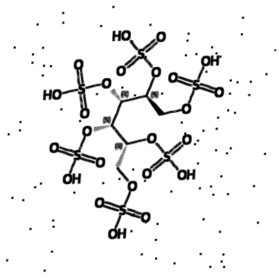 O=S(=O)(O)OC[C@H](OS(=O)(=O)O)[C@@H](OS(=O)(=O)O)[C@@H](OS(=O)(=O)O)[C@@H](COS(=O)(=O)O)OS(=O)(=O)O